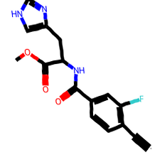 [C]#Cc1ccc(C(=O)NC(Cc2c[nH]cn2)C(=O)OC)cc1F